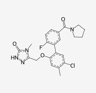 Cc1cc(OCc2n[nH]c(=O)n2C)c(-c2cc(C(=O)N3CCCC3)ccc2F)cc1Cl